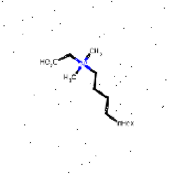 CCCCCCCCCC[N+](C)(C)CC(=O)O